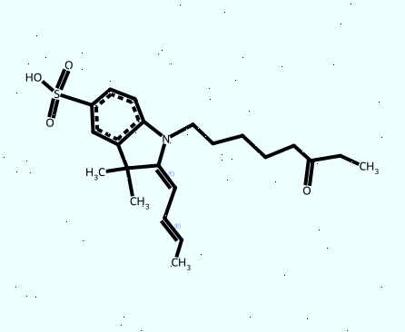 C/C=C/C=C1/N(CCCCCC(=O)CC)c2ccc(S(=O)(=O)O)cc2C1(C)C